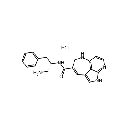 Cl.NC[C@H](Cc1ccccc1)NC(=O)C1=Cc2c[nH]c3nccc(c23)NC1